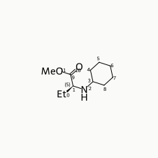 CC[C@H](NC1CCCCC1)C(=O)OC